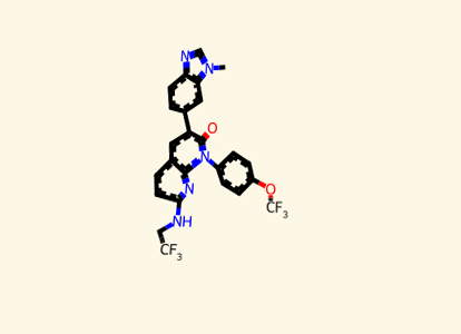 Cn1cnc2ccc(-c3cc4ccc(NCC(F)(F)F)nc4n(-c4ccc(OC(F)(F)F)cc4)c3=O)cc21